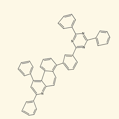 c1ccc(-c2cc(-c3ccccc3)c3c(ccc4c(-c5cccc(-c6nc(-c7ccccc7)nc(-c7ccccc7)n6)c5)cccc43)n2)cc1